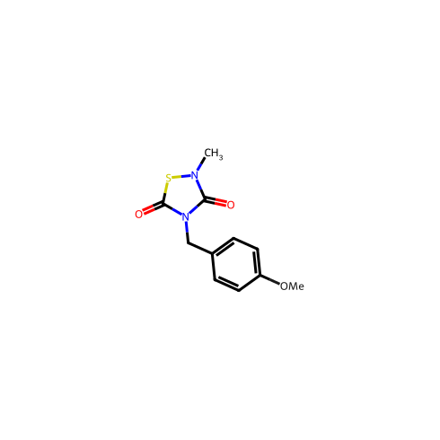 COc1ccc(Cn2c(=O)sn(C)c2=O)cc1